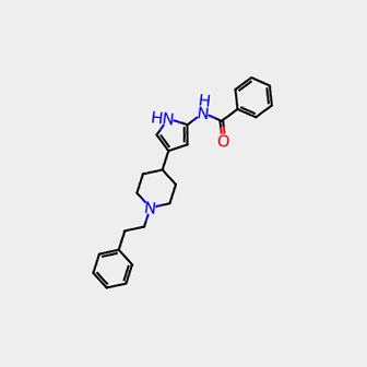 O=C(Nc1cc(C2CCN(CCc3ccccc3)CC2)c[nH]1)c1ccccc1